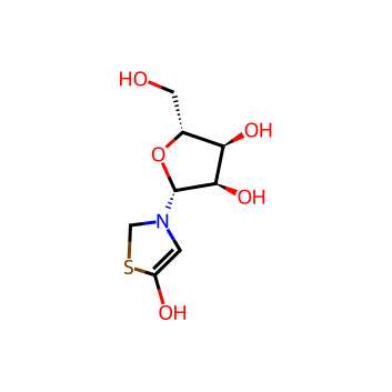 OC[C@H]1O[C@@H](N2C=C(O)SC2)[C@H](O)[C@@H]1O